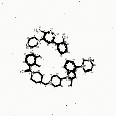 Cc1c(C(=O)N2CCC(CN3CCC(n4c(C)cc5c(N6C=CCNC6)cccc54)CC3)CC2)ccc([C@H]2CN(c3cc(-c4ccccc4O)nnc3N)CCO2)c1C